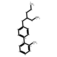 CCCC(CN)Cc1ccc(-c2ccccc2C)cc1